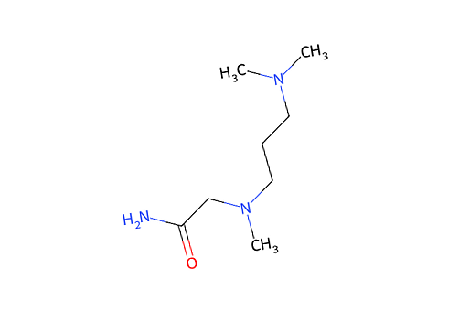 CN(C)CCCN(C)CC(N)=O